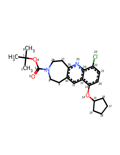 CC(C)(C)OC(=O)N1CCc2cc3c(OC4CCCC4)ccc(Cl)c3nc2CC1